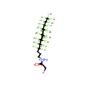 O=C(CI)NCCCC(F)(F)C(F)(F)C(F)(F)C(F)(F)C(F)(F)C(F)(F)C(F)(F)C(F)(F)F